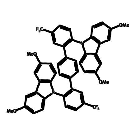 COc1ccc2c(c1)c1cc(OC)ccc1n2-c1ccc(C(F)(F)F)cc1-c1ccc(-c2cc(C(F)(F)F)ccc2-n2c3ccc(OC)cc3c3cc(OC)ccc32)cc1